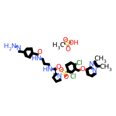 CS(=O)(=O)O.Cc1nc2c(OCc3c(Cl)ccc(S(=O)(=O)N4CCC[C@H]4C(=O)NCCCNC(=O)c4ccc(C=NN)cc4)c3Cl)cccn2c1C